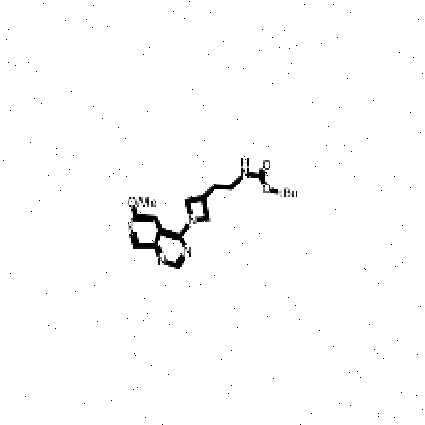 COc1cc2c(N3CC(CCNC(=O)OC(C)(C)C)C3)ncnc2cn1